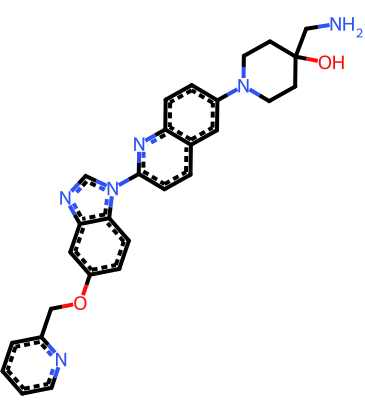 NCC1(O)CCN(c2ccc3nc(-n4cnc5cc(OCc6ccccn6)ccc54)ccc3c2)CC1